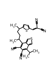 CC(C)c1c(C#N)c(C#N)c(C(C)CCC(C)c2ccc(C=C(C#N)C#N)s2)c2cscc12